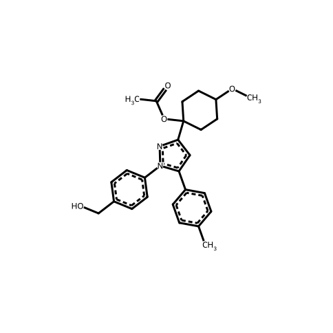 COC1CCC(OC(C)=O)(c2cc(-c3ccc(C)cc3)n(-c3ccc(CO)cc3)n2)CC1